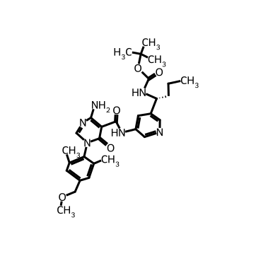 CCC[C@@H](NC(=O)OC(C)(C)C)c1cncc(NC(=O)c2c(N)ncn(-c3c(C)cc(COC)cc3C)c2=O)c1